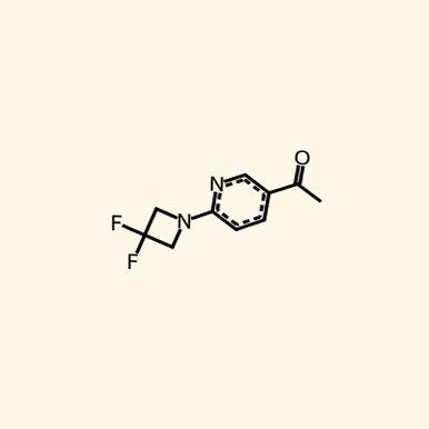 CC(=O)c1ccc(N2CC(F)(F)C2)nc1